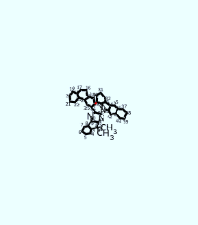 CC1(C)c2ccccc2-c2nc(-c3ccc4ccc5ccccc5c4c3)c(-n3c4ccccc4c4cc5ccccc5cc43)nc21